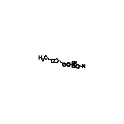 CCCCC[C@H]1CC[C@H](CCCOc2ccc(C(=O)Oc3ccc(C#N)cc3F)cc2)CC1